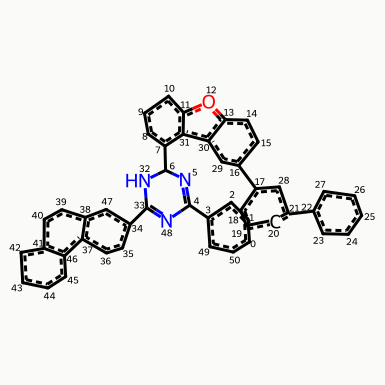 c1ccc(C2=NC(c3cccc4oc5ccc(-c6cccc(-c7ccccc7)c6)cc5c34)NC(c3ccc4c(ccc5ccccc54)c3)=N2)cc1